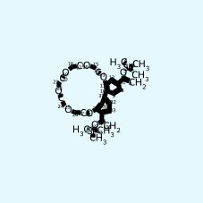 C=C(O[Si](C)(C)C)c1ccc2c(c1)OCCOCCOCCOCCOCCOc1cc-2ccc1C(=C)O[Si](C)(C)C